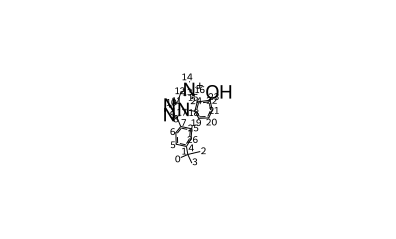 CC(C)(C)c1ccc(-c2nnc(C[N+](C)(C)C)n2-c2cccc(O)c2)cc1